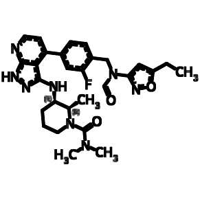 CCc1cc(N(C=O)Cc2ccc(-c3ccnc4[nH]nc(N[C@@H]5CCCN(C(=O)N(C)C)[C@@H]5C)c34)cc2F)no1